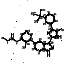 CCNCc1cncc(-c2ccc3[nH]nc(-c4nc(-c5cccc(C(F)(F)F)c5)c(C)[nH]4)c3c2)c1C